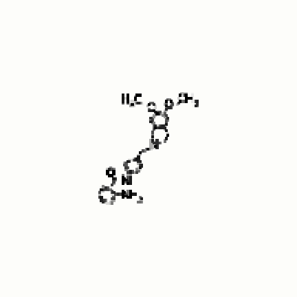 CCOc1cc2c(cc1OCC)CN(CCc1ccc(NC(=O)c3ccccc3N)cc1)CC2